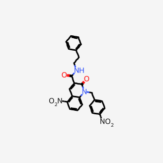 O=C(NCCc1ccccc1)c1cc2c([N+](=O)[O-])cccc2n(Cc2ccc([N+](=O)[O-])cc2)c1=O